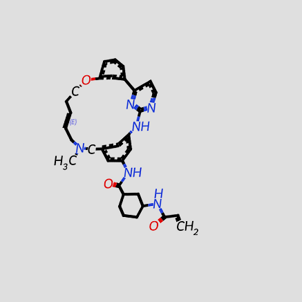 C=CC(=O)NC1CCCC(C(=O)Nc2cc3cc(c2)Nc2nccc(n2)-c2cccc(c2)OCC/C=C/CN(C)C3)C1